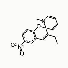 CCC1=Cc2cc([N+](=O)[O-])ccc2OC12C=CC=CN2C